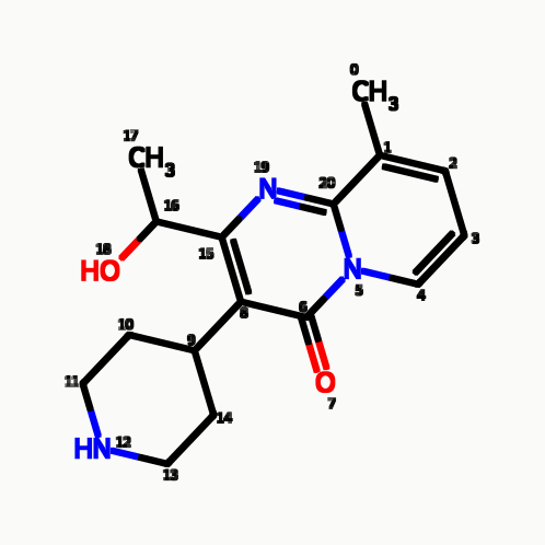 Cc1cccn2c(=O)c(C3CCNCC3)c(C(C)O)nc12